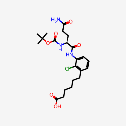 CC(C)(C)OC(=O)N[C@@H](CCC(N)=O)C(=O)Nc1cccc(CCCCCC(=O)O)c1Cl